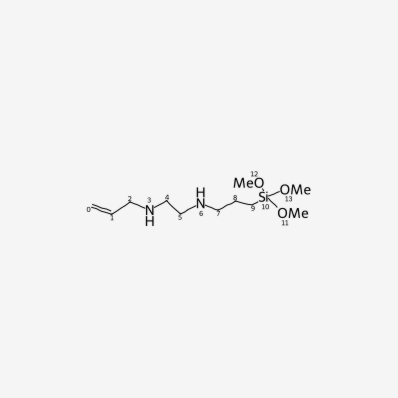 C=CCNCCNCCC[Si](OC)(OC)OC